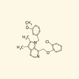 COc1cccc(Cn2c(C)c(C)c3ccnc(COc4ccccc4Cl)c32)c1